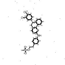 CS(=O)(=O)OCCc1ccc(Nc2ncc3c(n2)-c2ccccc2[C@H](c2ccc(Cl)c(Cl)c2)C3)cc1